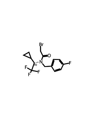 O=C(CBr)N(Cc1ccc(F)cc1)[C@@H](C1CC1)C(F)(F)F